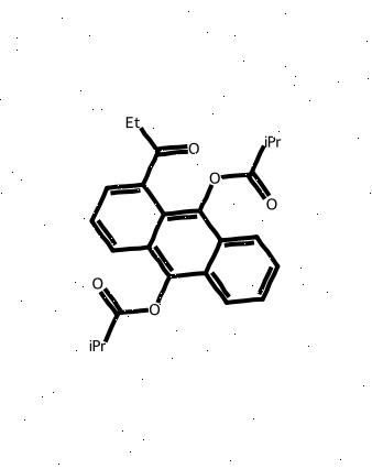 CCC(=O)c1cccc2c(OC(=O)C(C)C)c3ccccc3c(OC(=O)C(C)C)c12